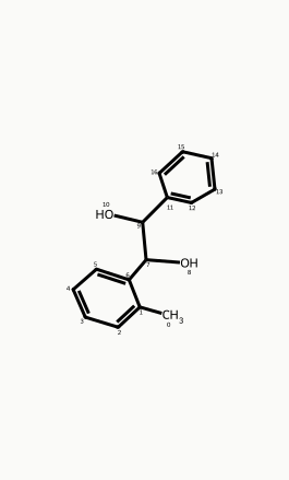 Cc1ccccc1C(O)C(O)c1ccccc1